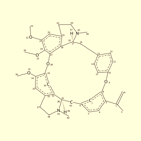 C=C(C)c1ccc2cc1Oc1ccc(cc1)C[C@H]1c3c(cc(OC)c(OC)c3Oc3cc4c(cc3OC)CCN(C)[C@@H]4C2)CCN1C